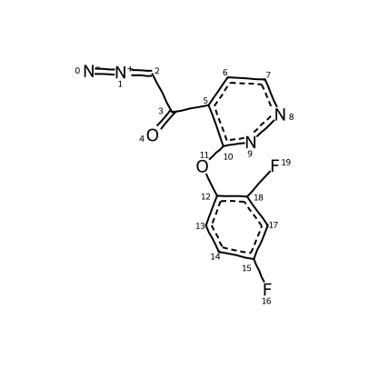 [N-]=[N+]=CC(=O)c1ccnnc1Oc1ccc(F)cc1F